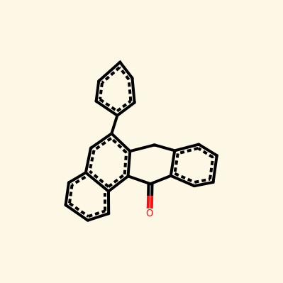 O=C1c2ccccc2Cc2c(-c3ccccc3)cc3ccccc3c21